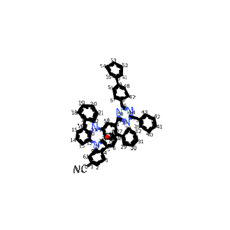 N#Cc1ccc2c3ccccc3n(-c3cccc4c5ccccc5n(-c5ccc(-c6ccccc6)c(-c6nc(-c7ccccc7)nc(-c7ccc(-c8ccccc8)cc7)n6)c5)c34)c2c1